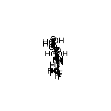 CO[C@H](COP(=O)(O)CP(=O)(O)O)[C@@H](O)[C@@H](O)n1cnc2c(NCc3cc(C(F)(F)F)cc(C(F)(F)F)c3)ncnc21